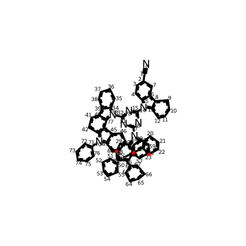 N#Cc1ccc2c(c1)c1ccccc1n2-c1nc(-n2c3ccccc3c3ccccc32)nc(-n2c3ccccc3c3ccc4c(c5ccc([Si](c6ccccc6)(c6ccccc6)c6ccccc6)cc5n4-c4ccccc4)c32)n1